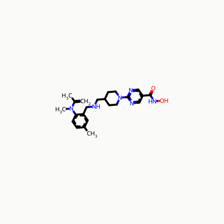 C=C(C)N(C)c1ccc(C)cc1CNCC1CCN(c2ncc(C(=O)NO)cn2)CC1